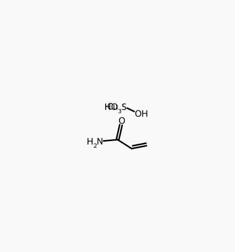 C=CC(N)=O.O=S(=O)(O)O.[Cu]